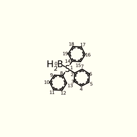 BS(c1ccccc1)(c1ccccc1)c1ccccc1